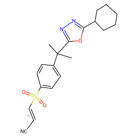 CC(C)(c1ccc(S(=O)(=O)/C=C/C#N)cc1)c1nnc(C2CCCCC2)o1